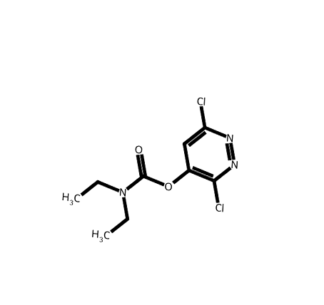 CCN(CC)C(=O)Oc1cc(Cl)nnc1Cl